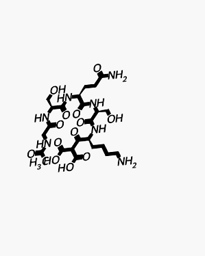 CC(=O)NCC(=O)N[C@@H](CO)C(=O)N[C@@H](CCC(N)=O)C(=O)N[C@@H](CO)C(=O)N[C@@H](CCCCN)C(=O)[C](C(=O)O)C(=O)O